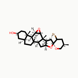 C[C@H]1CO[C@@]2(O[C@H]3C[C@H]4[C@@H]5CC[C@H]6C[C@@H](O)CC[C@]6(C)[C@H]5[C@H]5O[C@H]5[C@]4(C)[C@H]3[C@@H]2C)C(Br)C1